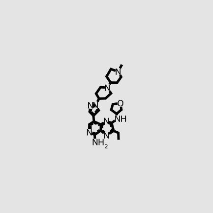 CCc1nc2c(N)ncc(-c3cnn(C4CCN(C5CCN(C)CC5)CC4)c3)c2nc1NC1CCOC1